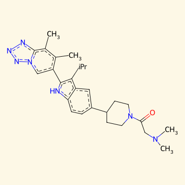 Cc1c(-c2[nH]c3ccc(C4CCN(C(=O)CN(C)C)CC4)cc3c2C(C)C)cn2nnnc2c1C